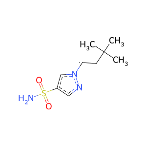 CC(C)(C)C[CH]n1cc(S(N)(=O)=O)cn1